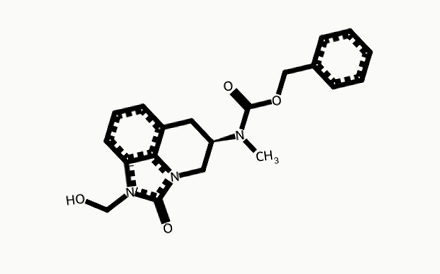 CN(C(=O)OCc1ccccc1)[C@@H]1Cc2cccc3c2n(c(=O)n3CO)C1